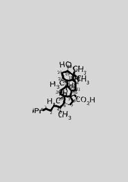 CC(C)CCC[C@@H](C)[C@H]1CC[C@@]2(CC(=O)O)[C@@H]3C=C[C@H]4C(C)(C)[C@@H](O)CC[C@]4(C)[C@H]3CC[C@]12C